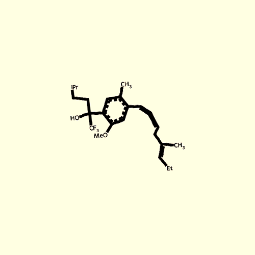 CC/C=C(\C)CC=C=Cc1cc(OC)c(C(O)(CCC(C)C)C(F)(F)F)cc1C